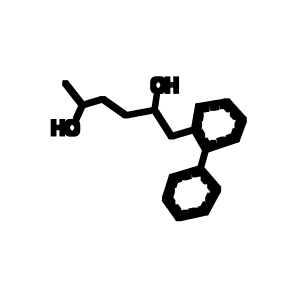 CC(O)CCC(O)Cc1ccccc1-c1ccccc1